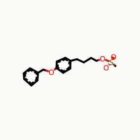 CS(=O)(=O)OCCCCc1ccc(OCc2ccccc2)cc1